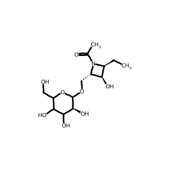 CC[C@H]1[C@@H](O)[C@H](COC2OC(CO)C(O)C(O)[C@@H]2O)N1C(C)=O